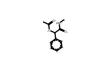 CNC(=O)C(OC(C)=O)c1ccccc1